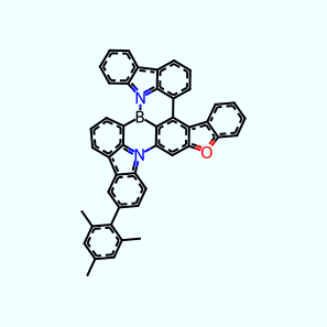 Cc1cc(C)c(-c2ccc3c(c2)c2cccc4c2n3-c2cc3oc5ccccc5c3c3c2B4n2c4ccccc4c4cccc-3c42)c(C)c1